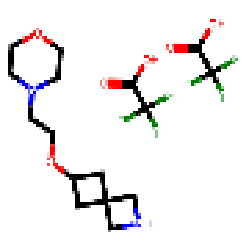 C1CN(CCOC2CC3(CNC3)C2)CCO1.O=C(O)C(F)(F)F.O=C(O)C(F)(F)F